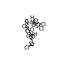 O=C1[C@@H](NS(=O)(=O)/C=C/c2ccc(Cl)s2)CCCN1CC(=O)N1CCC[C@H]1CNS(=O)(=O)c1cc(Cl)c(Cl)s1